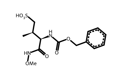 CONC(=O)[C@H](NC(=O)OCc1ccccc1)[C@@H](C)CS(=O)(=O)O